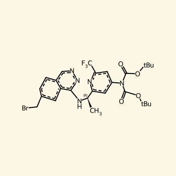 C[C@@H](Nc1nncc2ccc(CBr)cc12)c1cc(N(C(=O)OC(C)(C)C)C(=O)OC(C)(C)C)cc(C(F)(F)F)n1